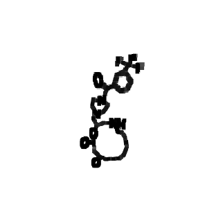 O=C1CCCCCCNCC(CN2CCN(C(=O)c3cccc(C(F)(F)F)c3)CC2)OC(=O)C1